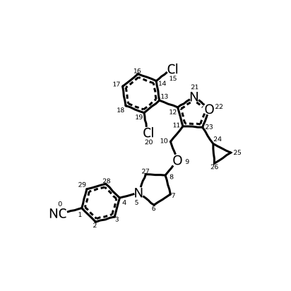 N#Cc1ccc(N2CCC(OCc3c(-c4c(Cl)cccc4Cl)noc3C3CC3)C2)cc1